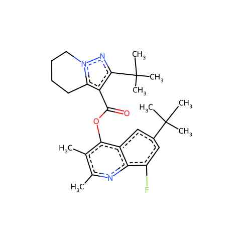 Cc1nc2c(F)cc(C(C)(C)C)cc2c(OC(=O)c2c(C(C)(C)C)nn3c2CCCC3)c1C